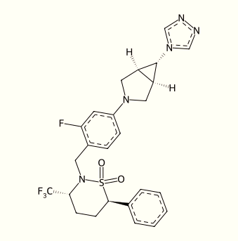 O=S1(=O)[C@@H](c2ccccc2)CC[C@H](C(F)(F)F)N1Cc1ccc(N2C[C@@H]3[C@H](C2)[C@H]3n2cnnc2)cc1F